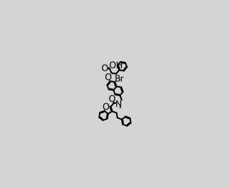 CN(Cc1ccc2c(Br)c(OC(Cc3ccccc3)C(=O)O)ccc2c1)C(=O)c1oc2ccccc2c1CCc1ccccc1